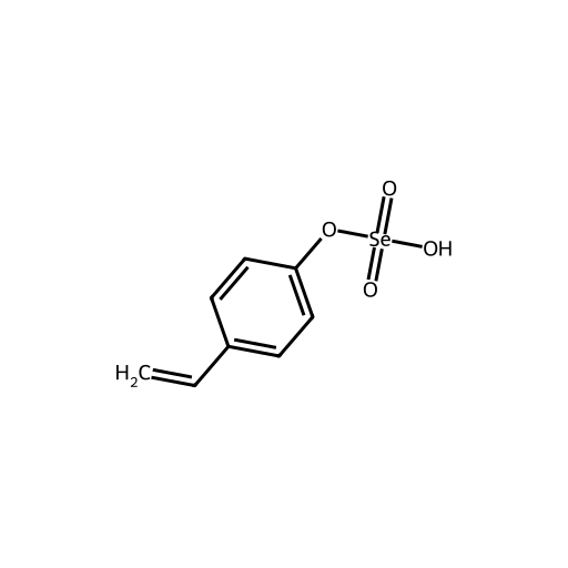 C=Cc1ccc(O[Se](=O)(=O)O)cc1